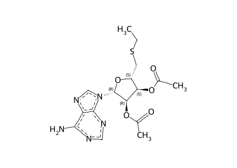 CCSC[C@H]1O[C@@H](n2cnc3c(N)ncnc32)[C@H](OC(C)=O)[C@@H]1OC(C)=O